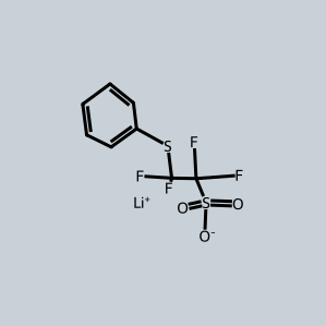 O=S(=O)([O-])C(F)(F)C(F)(F)Sc1ccccc1.[Li+]